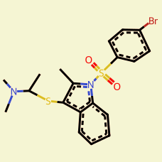 Cc1c(SC(C)N(C)C)c2ccccc2n1S(=O)(=O)c1ccc(Br)cc1